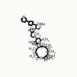 CC[C@H]1OC(=O)[C@H](C)C(=O)[C@H](C)[C@@H](O[C@@H]2O[C@H](C)C[C@H](N(C)CCc3cn([C@H](CF)[C@H](OC)c4ccc(-c5cccnc5)cc4)nn3)C2O)[C@](C)(OC)C[C@@H](C)C(=O)[C@H](C)[C@@H](O)[C@]1(C)O